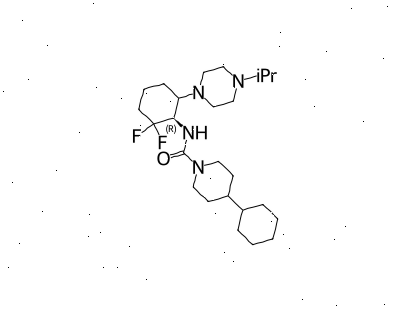 CC(C)N1CCN(C2CCCC(F)(F)[C@@H]2NC(=O)N2CCC(C3CCCCC3)CC2)CC1